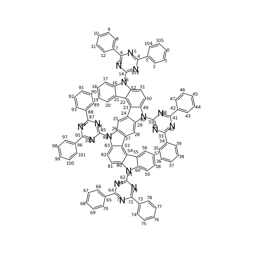 c1ccc(-c2nc(-c3ccccc3)nc(-n3c4ccccc4c4c5c6cc7c(cc6n(-c6nc(-c8ccccc8)nc(-c8ccccc8)n6)c5ccc43)c3c4c5ccccc5n(-c5nc(-c6ccccc6)nc(-c6ccccc6)n5)c4ccc3n7-c3nc(-c4ccccc4)nc(-c4ccccc4)n3)n2)cc1